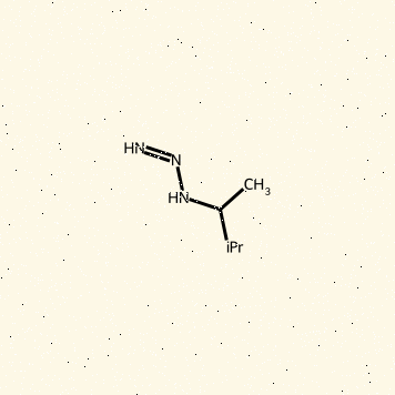 CC(C)C(C)NN=N